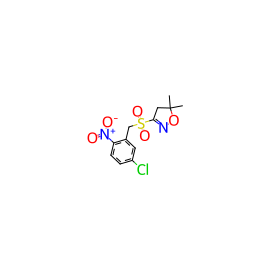 CC1(C)CC(S(=O)(=O)Cc2cc(Cl)ccc2[N+](=O)[O-])=NO1